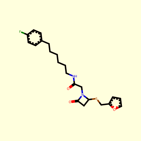 O=C(CN1C(=O)CC1SCc1ccco1)NCCCCCCc1ccc(F)cc1